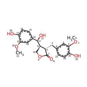 COc1cc(C[C@@H]2C(=O)OC[C@H]2[C@H](O)c2ccc(O)c(OC)c2)ccc1O